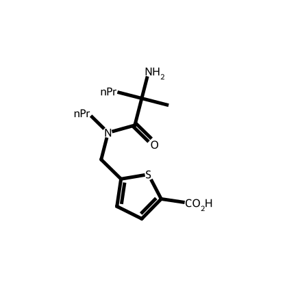 CCCN(Cc1ccc(C(=O)O)s1)C(=O)C(C)(N)CCC